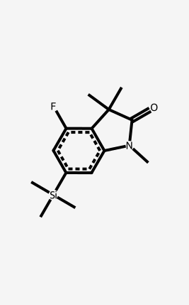 CN1C(=O)C(C)(C)c2c(F)cc([Si](C)(C)C)cc21